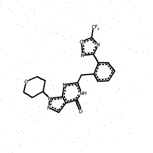 O=c1[nH]c(Cc2ccccc2-c2noc(C(F)(F)F)n2)nc2c1cnn2C1CCOCC1